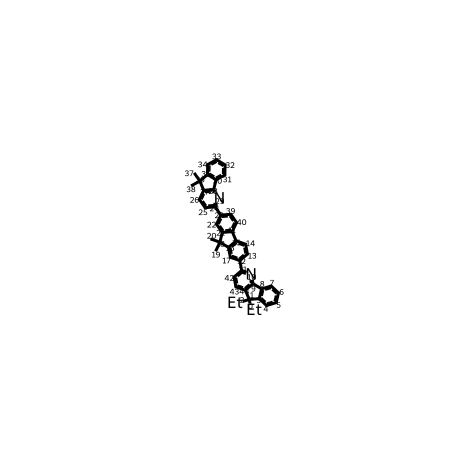 CCC1(CC)c2ccccc2-c2nc(-c3ccc4c(c3)C(C)(C)c3cc(-c5ccc6c(n5)-c5ccccc5C6(C)C)ccc3-4)ccc21